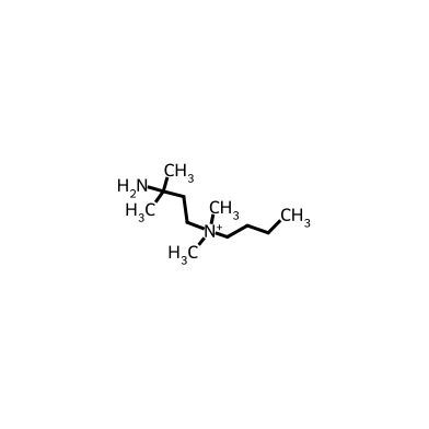 CCCC[N+](C)(C)CCC(C)(C)N